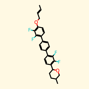 C/C=C/COc1ccc(-c2ccc(-c3ccc(C4CCC(C)CO4)c(F)c3F)cc2)c(F)c1F